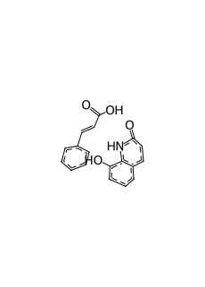 O=C(O)C=Cc1ccccc1.O=c1ccc2cccc(O)c2[nH]1